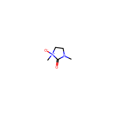 CN1CC[N+](C)([O-])C1=O